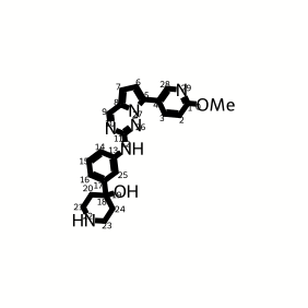 COc1ccc(-c2ccc3cnc(Nc4cccc(C5(O)CCNCC5)c4)nn23)cn1